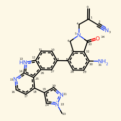 C=C(C#N)CN1Cc2c(-c3ccc4[nH]c5nccc(-c6cnn(C)c6)c5c4c3)ccc(N)c2C1=O